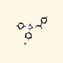 CC(=O)Oc1ccc([C@@H]2[C@@H](C/C=C(\CO)c3ccc(F)cc3)C(=O)N2c2ccc(F)cc2)cc1